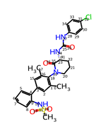 Cc1cc(-c2ccccc2NS(C)(=O)=O)cc(C)c1N1CCC[C@@H](NC(=O)Nc2ccc(Cl)cc2)C1=O